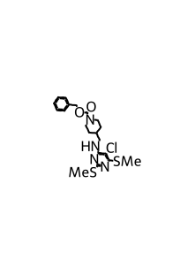 CSc1nc(NCC2CCN(C(=O)OCc3ccccc3)CC2)c(Cl)c(SC)n1